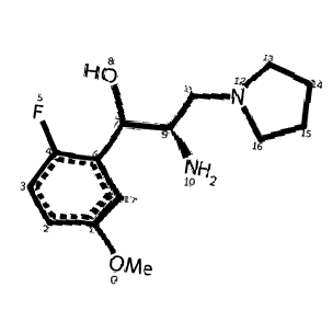 COc1ccc(F)c(C(O)[C@H](N)CN2CCCC2)c1